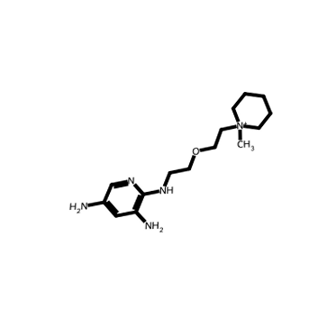 C[N+]1(CCOCCNc2ncc(N)cc2N)CCCCC1